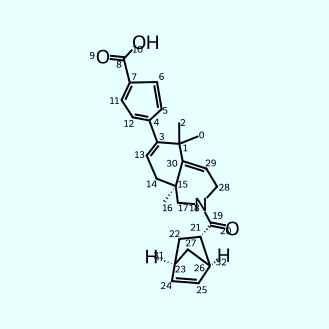 CC1(C)C(c2ccc(C(=O)O)cc2)=CC[C@]2(C)CN(C(=O)[C@H]3C[C@@H]4C=C[C@H]3C4)CC=C12